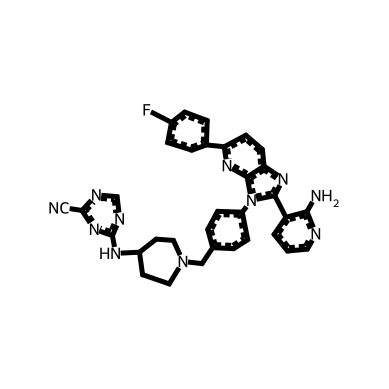 N#Cc1ncnc(NC2CCN(Cc3ccc(-n4c(-c5cccnc5N)nc5ccc(-c6ccc(F)cc6)nc54)cc3)CC2)n1